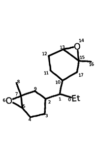 CCC(C1CCC2OC2(C)C1)C1CCC2OC2(C)C1